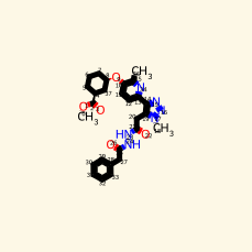 COC(=O)[C@H]1CCC[C@H](Oc2ccc(-c3nnn(C)c3CC(=O)NNC(=O)Cc3ccccc3)nc2C)C1